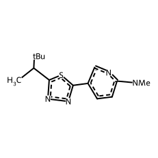 CNc1ccc(-c2nnc(C(C)C(C)(C)C)s2)cn1